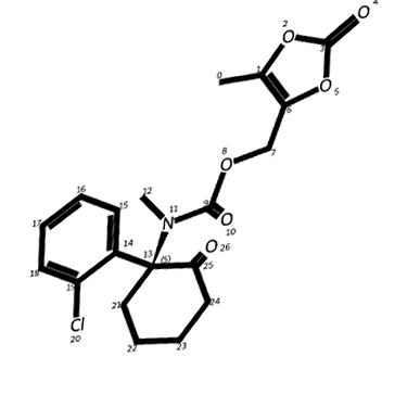 Cc1oc(=O)oc1COC(=O)N(C)[C@]1(c2ccccc2Cl)CCCCC1=O